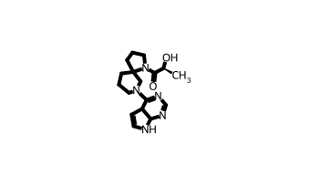 C[C@H](O)C(=O)N1CCCC12CCCN(C1=NC=NC3NC=CC13)C2